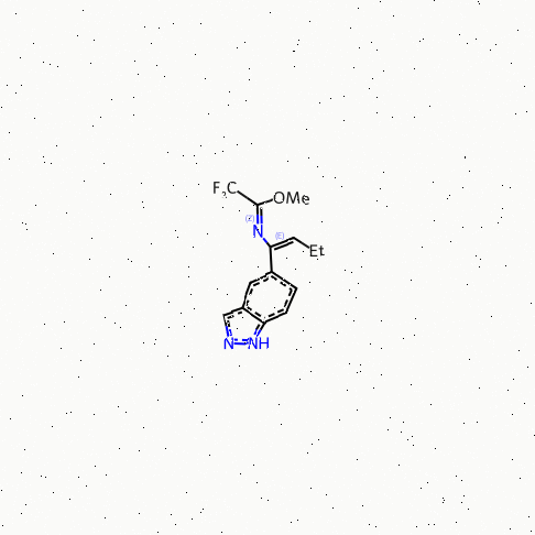 CC/C=C(/N=C(\OC)C(F)(F)F)c1ccc2[nH]ncc2c1